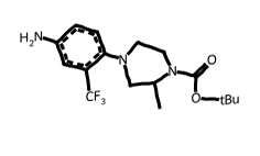 CC1CN(c2ccc(N)cc2C(F)(F)F)CCN1C(=O)OC(C)(C)C